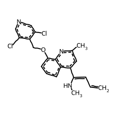 C=C/C=C(\NC)c1cc(C)nc2c(OCc3c(Cl)cncc3Cl)cccc12